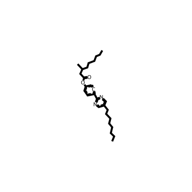 CCCCCCCCc1cnc(-c2ccc(OC(=O)CC(C)CCCCCC)cc2)nc1